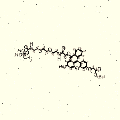 CC(C)(C)OC(=O)COc1ccc2c(c1)OC1=CC(O)C=CC1=C2c1ccccc1C(=O)OCC(=O)NCCOCCOCCNC(=O)OC(C)(O)O